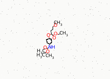 CCOC(=O)C(CCCOC)Oc1ccc(NC(=O)OC(C)(C)C)cc1